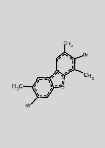 Cc1cc2c(cc1Br)sc1c(C)c(Br)c(C)cc12